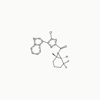 C[C@]12CCCC(F)(F)[C@@H]1N2C(=O)c1nc(-c2cnn3ccccc23)c(Cl)s1